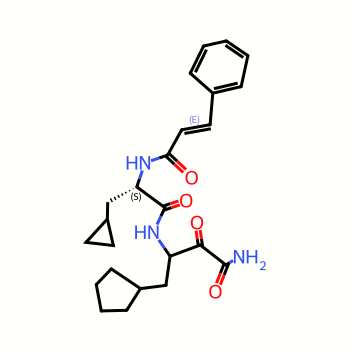 NC(=O)C(=O)C(CC1CCCC1)NC(=O)[C@H](CC1CC1)NC(=O)/C=C/c1ccccc1